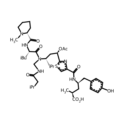 CCC(C)[C@H](NC(=O)[C@H]1CCCCN1C)C(=O)N(CNC(=O)CC(C)C)[C@H](C[C@@H](OC(C)=O)c1nc(C(=O)N[C@@H](Cc2ccc(O)cc2)C[C@H](C)C(=O)O)cs1)C(C)C